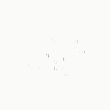 CCOC(=O)c1cnn2c(N(C(=O)OC(C)(C)C)C(=O)OC(C)(C)C)c(-c3cc(C)cc4ccsc34)cnc12